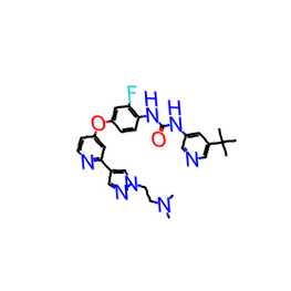 CN(C)CCn1cc(-c2cc(Oc3ccc(NC(=O)Nc4cncc(C(C)(C)C)c4)c(F)c3)ccn2)cn1